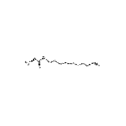 C=CC(=O)OCCCCCCCCCC=S